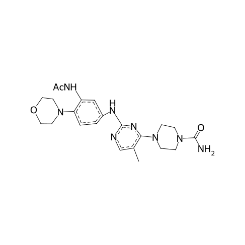 CC(=O)Nc1cc(Nc2ncc(C)c(N3CCN(C(N)=O)CC3)n2)ccc1N1CCOCC1